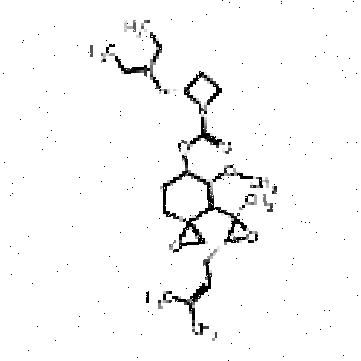 CCN(CC)C[C@@H]1CCN1C(=O)O[C@@H]1CC[C@]2(CO2)C([C@@]2(C)O[C@@H]2CC=C(C)C)[C@@H]1OC